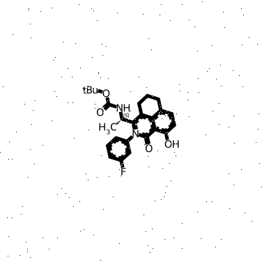 C[C@H](NC(=O)OC(C)(C)C)c1c2c3c(ccc(O)c3c(=O)n1-c1cccc(F)c1)CCC2